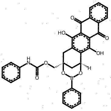 O=C(Nc1ccccc1)OC[C@]12Cc3c(O)c4c(c(O)c3[C@H](C1)OB(c1ccccc1)O2)C(=O)c1ccccc1C4=O